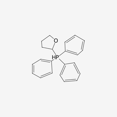 c1ccc([PH](c2ccccc2)(c2ccccc2)C2CCCO2)cc1